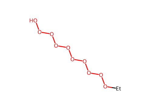 CCOOOOOOOOOO